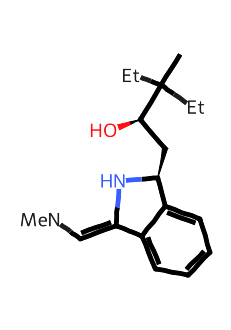 CCC(C)(CC)[C@H](O)C[C@@H]1N/C(=C\NC)c2ccccc21